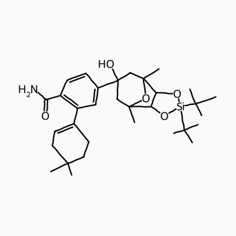 CC1(C)CC=C(c2cc(C3(O)CC4(C)OC(C)(C3)C3O[Si](C(C)(C)C)(C(C)(C)C)OC34)ccc2C(N)=O)CC1